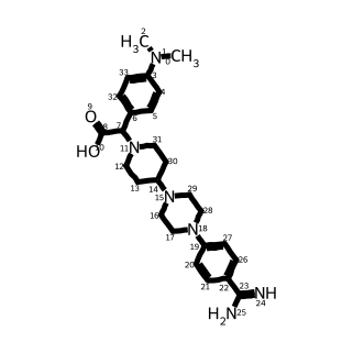 CN(C)c1ccc(C(C(=O)O)N2CCC(N3CCN(c4ccc(C(=N)N)cc4)CC3)CC2)cc1